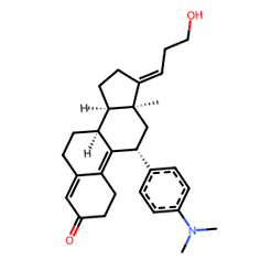 CN(C)c1ccc([C@H]2C[C@]3(C)/C(=C/CCO)CC[C@@H]3[C@@H]3CCC4=CC(=O)CCC4=C32)cc1